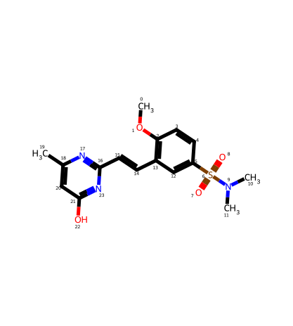 COc1ccc(S(=O)(=O)N(C)C)cc1C=Cc1nc(C)cc(O)n1